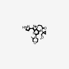 COCC1(N2C(=O)CCn3nc(-c4cc[nH]n4)c4nc(N5CCOC[C@H]5C)cc2c43)CC1